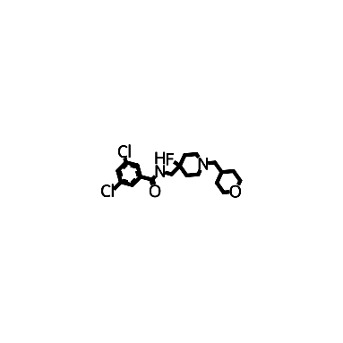 O=C(NCC1(F)CCN(CC2CCOCC2)CC1)c1cc(Cl)cc(Cl)c1